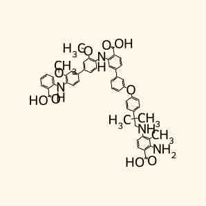 COc1cc(-c2ccc(Nc3cc(-c4cccc(Oc5ccc(C(C)(C)CNc6ccc(C(=O)O)c(N)c6C)cc5)c4)ccc3C(=O)O)c(OC)c2)ccc1Nc1ccccc1C(=O)O